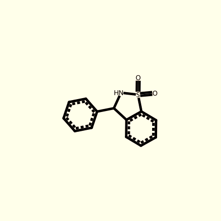 O=S1(=O)NC(c2ccccc2)c2ccccc21